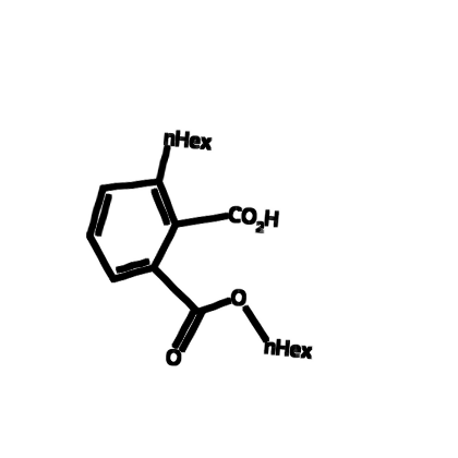 CCCCCCOC(=O)c1cccc(CCCCCC)c1C(=O)O